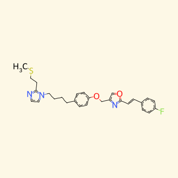 CSCCc1nccn1CCCCc1ccc(OCc2coc(/C=C/c3ccc(F)cc3)n2)cc1